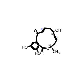 C[C@@H]1C/C=C/[C@@H](O)C/C=C/C(=O)Cc2cc(O)cc(O)c2C(=O)O1